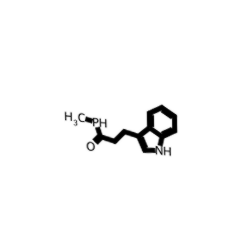 CPC(=O)CCc1c[nH]c2ccccc12